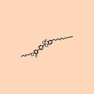 CCCCCCCCCCCc1ccc(OC(=O)c2ccc(-c3ccc(OCCCCCC)c(F)c3)cc2)c(F)c1